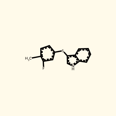 Cc1ccc(Sc2c[nH]c3ccccc23)cc1F